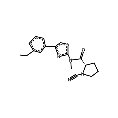 CCc1cccc(-c2csc(N(C)C(=O)[C@@H]3CCCN3C#N)n2)c1